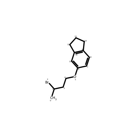 CC(Br)CCOc1ccc2c(c1)CCC2